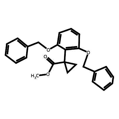 COC(=O)C1(c2c(OCc3ccccc3)cccc2OCc2ccccc2)CC1